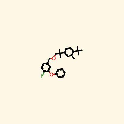 Cc1cc(C(C)(C)COCc2ccc(F)c(Oc3ccccc3)c2)ccc1C(C)(C)C